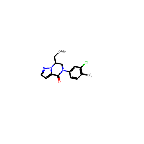 COCC1CN(c2ccc(C(F)(F)F)c(Cl)c2)C(=O)c2ccnn21